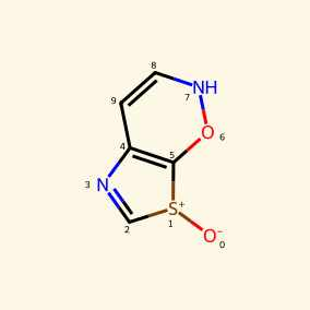 [O-][s+]1cnc2c1ONC=C2